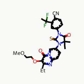 CCc1nc2ccc(N3C(=S)N(c4ccc(C#N)c(C(C)(F)F)c4)C(=O)C3(C)C)cn2c(=O)c1OCCOC